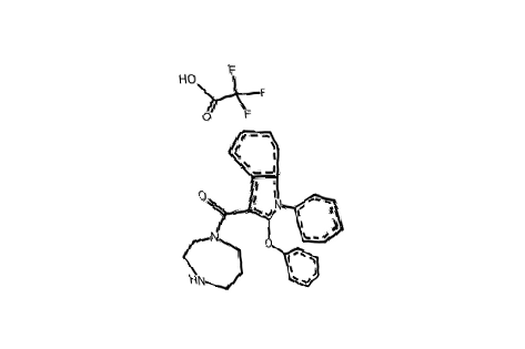 O=C(O)C(F)(F)F.O=C(c1c(Oc2ccccc2)n(-c2ccccc2)c2ccccc12)N1CCCNCC1